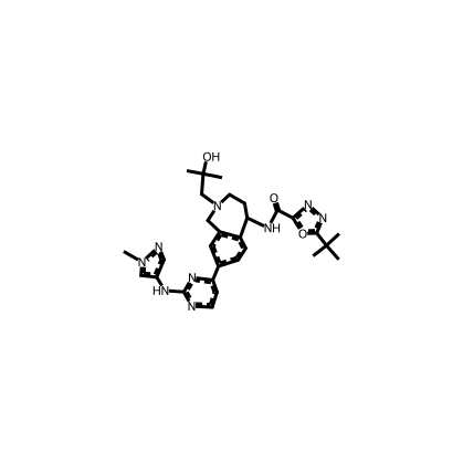 Cn1cc(Nc2nccc(-c3ccc4c(c3)CN(CC(C)(C)O)CCC4NC(=O)c3nnc(C(C)(C)C)o3)n2)cn1